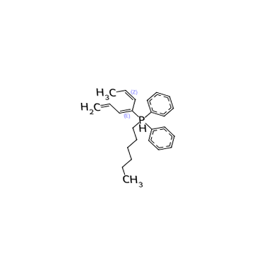 C=C/C=C(\C=C/C)[PH](CCCCCC)(c1ccccc1)c1ccccc1